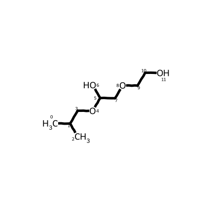 CC(C)COC(O)COCCO